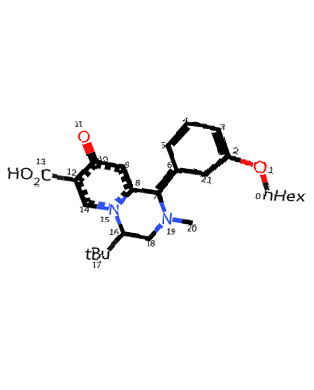 CCCCCCOC1=CC=C/C(=C2\c3cc(=O)c(C(=O)O)cn3C(C(C)(C)C)CN2C)C1